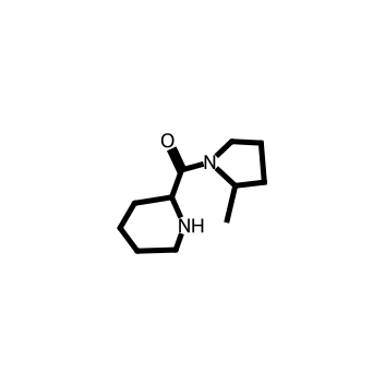 CC1CCCN1C(=O)C1CCCCN1